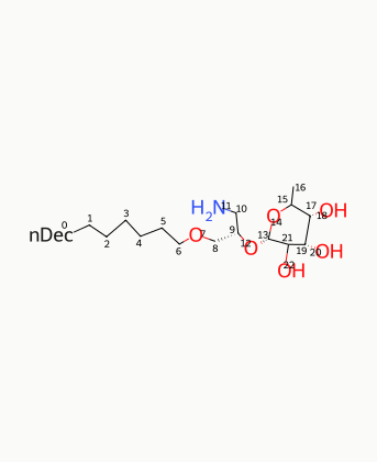 CCCCCCCCCCCCCCCCOC[C@H](CN)O[C@@H]1OC(C)[C@H](O)[C@H](O)C1O